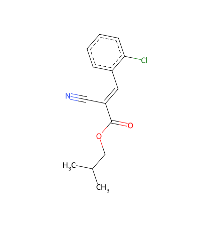 CC(C)COC(=O)/C(C#N)=C/c1ccccc1Cl